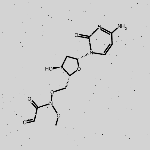 CON(OC[C@H]1O[C@@H](n2ccc(N)nc2=O)C[C@@H]1O)C(=O)C=O